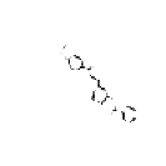 CC(Oc1ccc(C(=O)/C=C/c2cccc(NC(=O)c3ccccc3Cl)c2)cc1)C(=O)O